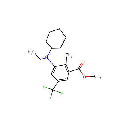 CCN(c1cc(C(F)(F)F)cc(C(=O)OC)c1C)C1CCCCC1